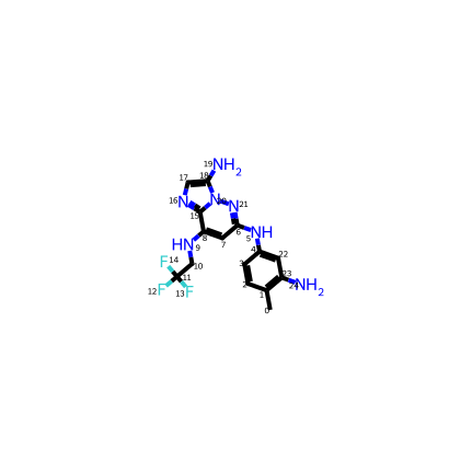 Cc1ccc(Nc2cc(NCC(F)(F)F)c3ncc(N)n3n2)cc1N